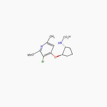 COc1nc(C)cc(O[C@@H]2CCC[C@H]2NC(=O)O)c1Br